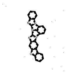 c1ccc2c(c1)nc1n2c2cccc3c2n1c1nc2cc4oc5ccccc5c4cc2n31